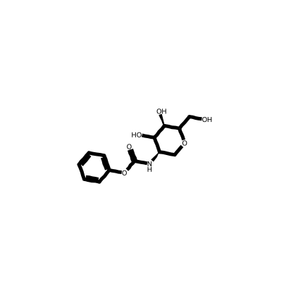 O=C(N[C@@H]1COC(CO)[C@H](O)C1O)Oc1ccccc1